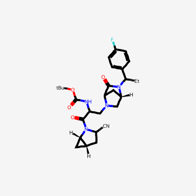 CCC(c1ccc(F)cc1)N1C(=O)C2C[C@H]1CN2CC(NC(=O)OC(C)(C)C)C(=O)N1C(C#N)C[C@@H]2C[C@@H]21